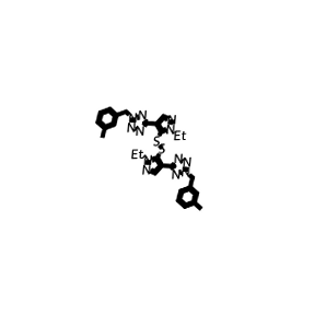 CCn1ncc(-c2nnn(Cc3cccc(C)c3)n2)c1SSc1c(-c2nnn(Cc3cccc(C)c3)n2)cnn1CC